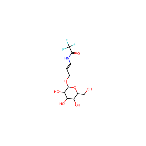 O=C(N/C=C/COC1OC(CO)C(O)C(O)C1O)C(F)(F)F